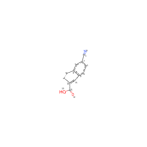 N#Cc1ccc2c(c1)CCC(C(=O)O)=C2